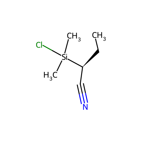 CC[C@@H](C#N)[Si](C)(C)Cl